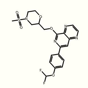 CS(=O)(=O)N1CCOC(COc2nc(-c3ccc(OC(F)F)cc3)cc3nccnc23)C1